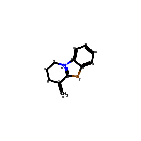 C=C1CCC[n+]2c1sc1ccccc12